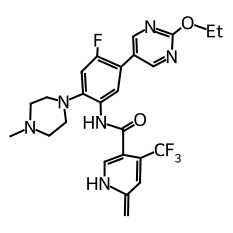 C=C1C=C(C(F)(F)F)C(C(=O)Nc2cc(-c3cnc(OCC)nc3)c(F)cc2N2CCN(C)CC2)=CN1